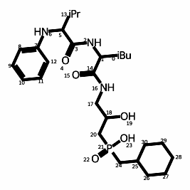 CCC(C)C(NC(=O)C(Nc1ccccc1)C(C)C)C(=O)NCC(O)CP(=O)(O)CC1CCCCC1